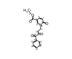 CCOC(=O)c1ccc(=O)n(CCNC(=O)c2cccnc2)c1